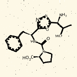 CC(O)[C@H](N)c1nnc([C@H](Cc2ccccc2)NC(=O)N2CCC[C@H]2C(=O)O)o1